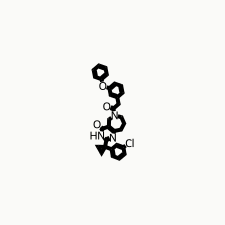 O=C(Cc1cccc(Oc2ccccc2)c1)N1CCCc2nc(C3(c4cccc(Cl)c4)CC3)[nH]c(=O)c2C1